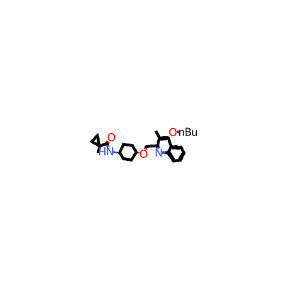 CCCCOc1c(C)c(CO[C@H]2CC[C@H](NC(=O)C3(C)CC3)CC2)nc2ccccc12